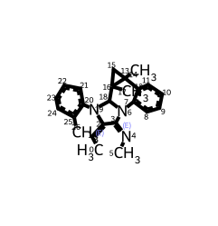 C/C=C1\C(=N/C)N2c3ccccc3C3(C)CC3(C)C2N1c1ccccc1C